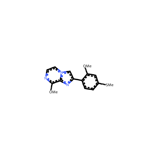 COc1cc(SC)ccc1-c1cn2ccnc(OC)c2n1